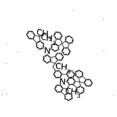 CC1(C)c2ccccc2-c2ccc(N(c3ccc4c(c3)-c3ccccc3C43c4ccccc4-c4ccccc43)c3cccc4c3-c3ccccc3C4(C)Cc3ccc(N4c5cccc6c5C(C)(c5ccccc5-6)c5c4ccc4c5-c5ccccc5C45c4ccccc4-c4ccccc45)c(-c4ccccc4)c3)cc21